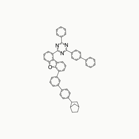 c1ccc(-c2ccc(-c3nc(-c4ccccc4)nc(-c4cccc5oc6c(-c7cccc(-c8ccc(C9CC%10CCC9C%10)cc8)c7)cccc6c45)n3)cc2)cc1